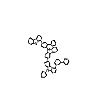 c1ccc(-c2cccc(-c3cccc4c3c3cc(-c5ccc6c(c5)c5ccccc5n6-c5ccc(-c6cccc7c6sc6ccccc67)cc5-c5ccccc5)ccc3n4-c3ccccc3)c2)cc1